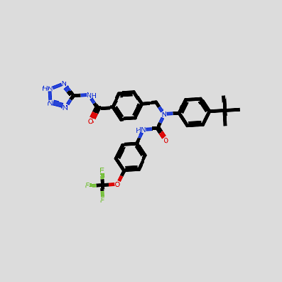 CC(C)(C)c1ccc(N(Cc2ccc(C(=O)Nc3nn[nH]n3)cc2)C(=O)Nc2ccc(OC(F)(F)F)cc2)cc1